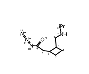 CC(C)NCC1CCC1CC(=O)N=[N+]=[N-]